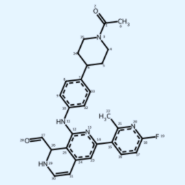 CC(=O)N1CCC(c2ccc(Nc3nc(-c4ccc(F)nc4C)cc4c3C(C=O)NC=C4)cc2)CC1